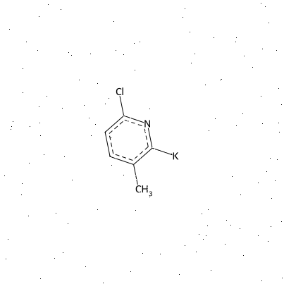 Cc1ccc(Cl)n[c]1[K]